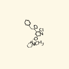 CN1CCCC[C@@H]1COc1cnc(Cl)c(C(=O)Cc2ccccc2)c1